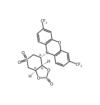 O=S1O[C@H]2[C@H](CS(=O)(=O)C[C@@H]2N2c3ccc(C(F)(F)F)cc3Oc3cc(C(F)(F)F)ccc32)O1